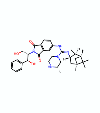 C[C@@H]1[C@@H](/N=C(/Nc2ccc3c(c2)C(=O)N([C@@H](CO)[C@@H](O)c2ccccc2)C3=O)N2CCN[C@@H](C)C2)C[C@H]2C[C@@H]1C2(C)C